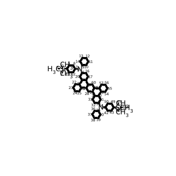 C[Si](C)(C)c1ccc(N(c2ccccc2)c2ccc3c(c2)c2ccccc2c2cc4c5ccc(N(c6ccccc6)c6ccc([Si](C)(C)C)cc6)cc5c5ccccc5c4cc32)cc1